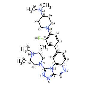 C[C@@H]1CN(c2nnc3cnc4ccc(-c5ccc(N6CCC(N(C)C)CC6)c(F)c5)cc4n23)C[C@H](C)N1C